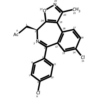 CC(=O)C[C@@H]1N=C(c2ccc(Cl)cc2)c2cc(Cl)ccc2-c2c(C)noc21